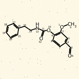 COc1cc(C=O)ccc1OC(=O)NCCc1ccccc1